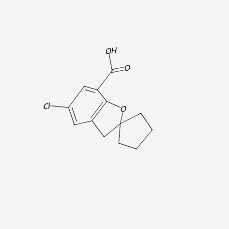 O=C(O)c1cc(Cl)cc2c1OC1(CCCC1)C2